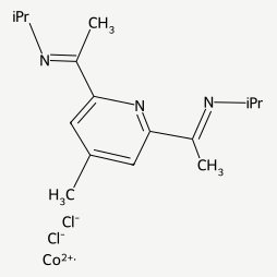 CC(=NC(C)C)c1cc(C)cc(C(C)=NC(C)C)n1.[Cl-].[Cl-].[Co+2]